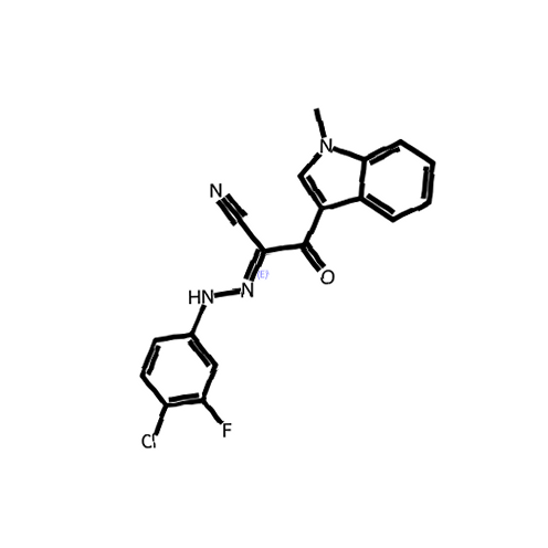 Cn1cc(C(=O)/C(C#N)=N/Nc2ccc(Cl)c(F)c2)c2ccccc21